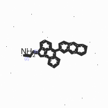 N/C=C\C=C1/Cc2c3ccccc3c(-c3ccc4cc5ccccc5cc4c3)c3cccc1c23